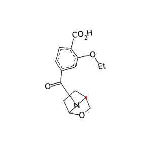 CCOc1cc(C(=O)N2CC3CCC(C2)OC3)ccc1C(=O)O